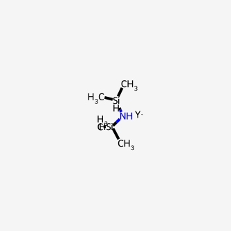 C[SiH](C)N[SiH](C)C.[Y]